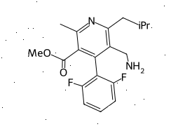 COC(=O)c1c(C)nc(CC(C)C)c(CN)c1-c1c(F)cccc1F